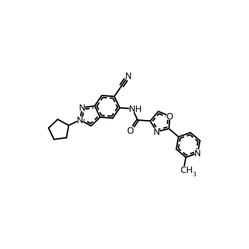 Cc1cc(-c2nc(C(=O)Nc3cc4cn(C5CCCC5)nc4cc3C#N)co2)ccn1